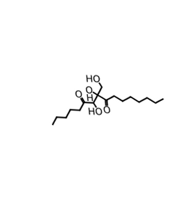 CCCCCCCC(=O)C(O)(CO)C(O)C(=O)CCCCC